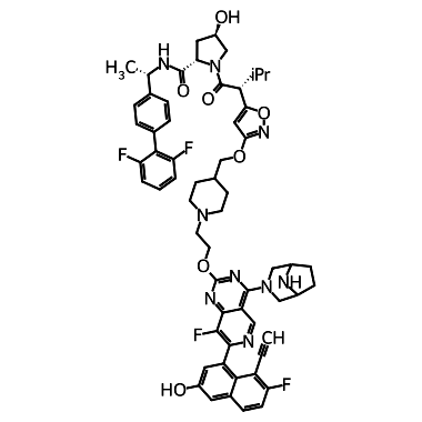 C#Cc1c(F)ccc2cc(O)cc(-c3ncc4c(N5CC6CCC(C5)N6)nc(OCCN5CCC(COc6cc([C@H](C(=O)N7C[C@H](O)C[C@H]7C(=O)N[C@@H](C)c7ccc(-c8c(F)cccc8F)cc7)C(C)C)on6)CC5)nc4c3F)c12